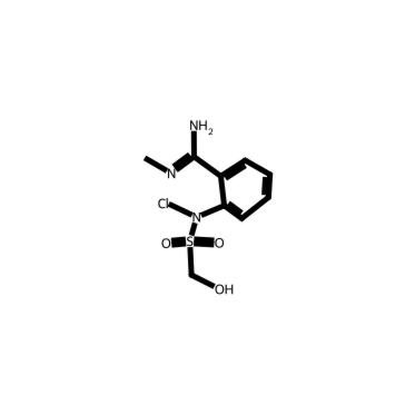 CN=C(N)c1ccccc1N(Cl)S(=O)(=O)CO